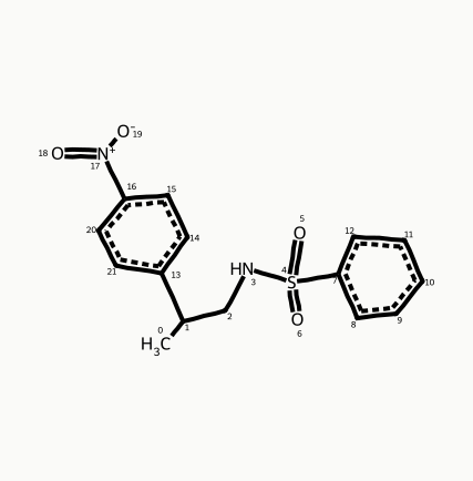 CC(CNS(=O)(=O)c1ccccc1)c1ccc([N+](=O)[O-])cc1